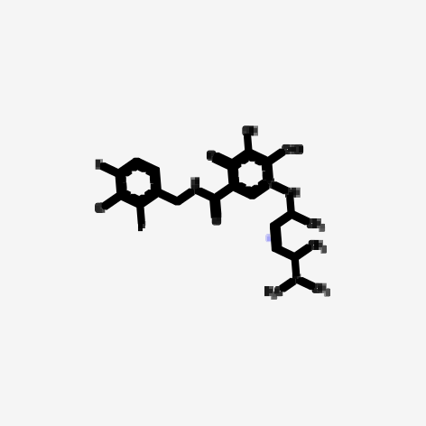 CC(/C=C\C(C)N(C)C)Nn1cc(C(=O)NCc2ccc(F)c(Cl)c2F)c(=O)c(O)c1C=O